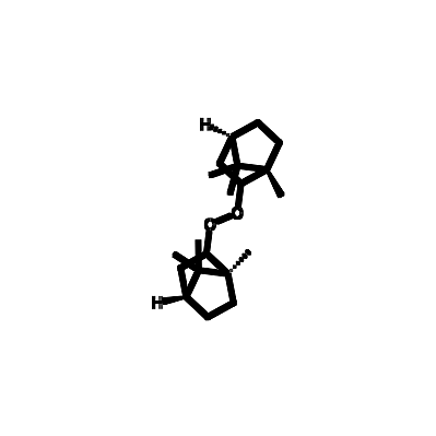 CC1(C)[C@@H]2CC[C@]1(C)C(OOC1C[C@H]3CC[C@@]1(C)C3(C)C)C2